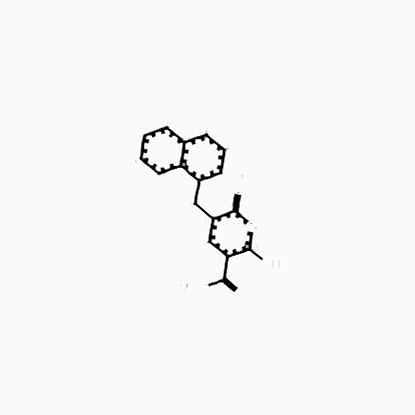 COC(=O)c1cc(Cc2cccc3ccccc23)c(=O)[nH]c1C